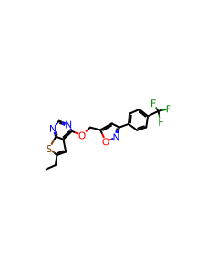 CCc1cc2c(OCc3cc(-c4ccc(C(F)(F)F)cc4)no3)ncnc2s1